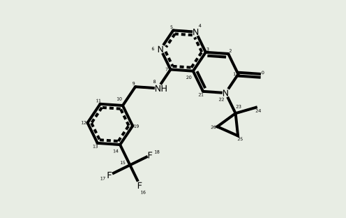 C=C1C=c2ncnc(NCc3cccc(C(F)(F)F)c3)c2=CN1C1(C)CC1